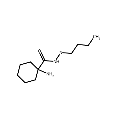 CCCC[N]NC(=O)C1(N)CCCCC1